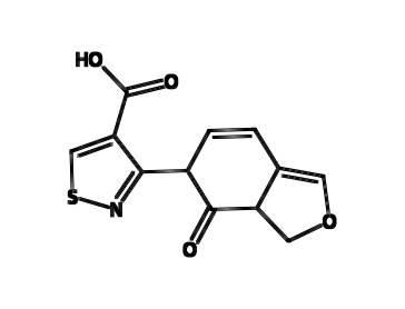 O=C(O)c1csnc1C1C=CC2=COCC2C1=O